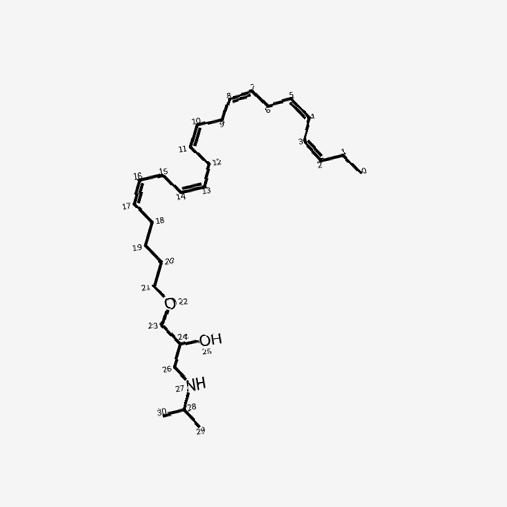 CC/C=C\C=C/C/C=C\C/C=C\C/C=C\C/C=C\CCCCOCC(O)CNC(C)C